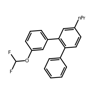 CCCc1ccc(-c2ccccc2)c(-c2cccc(OC(F)F)c2)c1